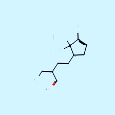 CCC(C=O)CCC1CC=C(C)C1(C)C